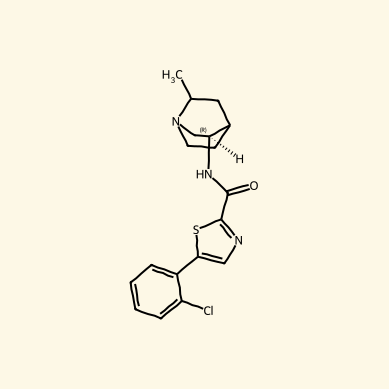 CC1CC2CCN1C[C@@H]2NC(=O)c1ncc(-c2ccccc2Cl)s1